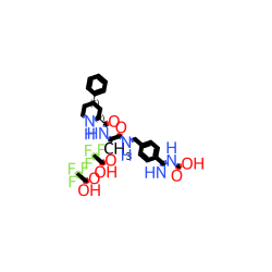 CC(NC(=O)[C@H]1C[C@@H](c2ccccc2)CCN1)C(=O)NCc1ccc(C(=N)NC(=O)O)cc1.O=C(O)C(F)(F)F.O=C(O)C(F)(F)F